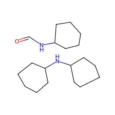 C1CCC(NC2CCCCC2)CC1.O=CNC1CCCCC1